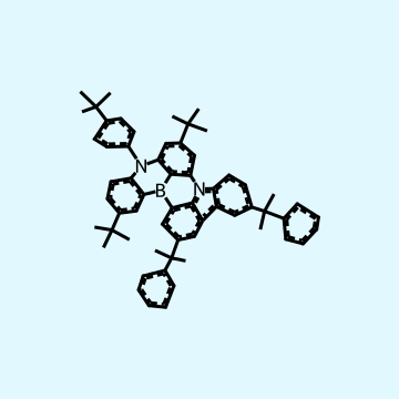 CC(C)(C)c1ccc(N2c3ccc(C(C)(C)C)cc3B3c4c2cc(C(C)(C)C)cc4-n2c4ccc(C(C)(C)c5ccccc5)cc4c4cc(C(C)(C)c5ccccc5)cc3c42)cc1